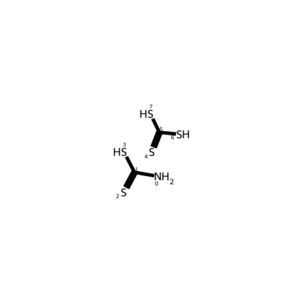 NC(=S)S.S=C(S)S